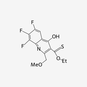 CCOC(=S)c1c(COC)nc2c(F)c(F)c(F)cc2c1O